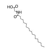 CCCCCCCCCCCCCCCCCC(=O)NCC(=O)O